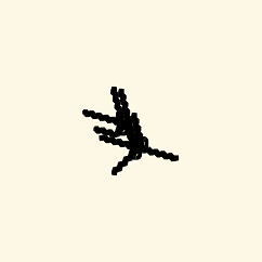 CCCCCCCCCCC(OCCCCCCCC)=C(OCCCCCCCC)C(CCCCCCCCC)OCOCOC(CCCCCCCCC)C(OCCCCCCCC)=C(CCCCCCCCCC)OCCCCCCCC